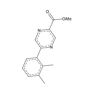 COC(=O)c1cnc(-c2cccc(C)c2C)cn1